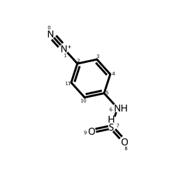 N#[N+]c1ccc(N[SH](=O)=O)cc1